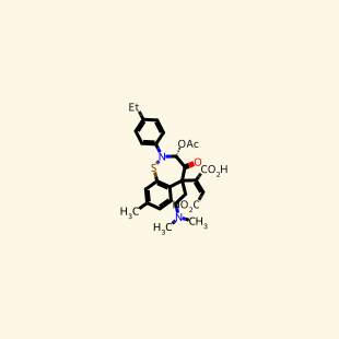 CCc1ccc(N2Sc3cc(C)ccc3C(CCN(C)C)(/C(=C\C(=O)O)C(=O)O)C(=O)[C@H]2OC(C)=O)cc1